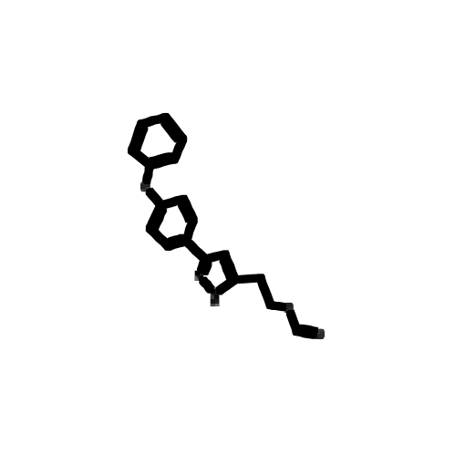 O=COCCc1cc(-c2ccc(Oc3ccccc3)cc2)n[nH]1